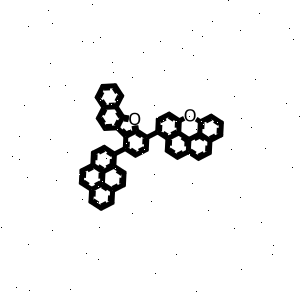 c1ccc2c(c1)ccc1c2oc2c(-c3ccc4c5c3ccc3ccc6cccc(c6c35)O4)ccc(-c3ccc4ccc5cccc6ccc3c4c56)c21